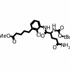 COC(=O)CCCCc1cccc(NC(=O)C(CCC(N)=O)NC(=O)OC(C)(C)C)c1Cl